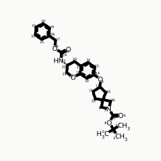 CC(C)(C)OC(=O)N1CC2(CCC(Oc3ccc4c(c3)OC[C@H](NC(=O)OCc3ccccc3)C4)C2)C1